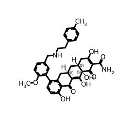 COc1ccc(CNCCc2ccc(C)cc2)cc1-c1ccc(O)c2c1C[C@H]1C[C@H]3CC(O)=C(C(N)=O)C(=O)[C@@]3(O)C(O)=C1C2=O